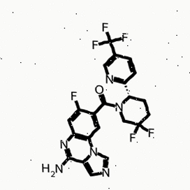 Nc1nc2cc(F)c(C(=O)N3CC(F)(F)CC[C@H]3c3ccc(C(F)(F)F)cn3)cc2n2cncc12